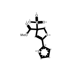 COC(=O)C1(S(=O)(=O)Cl)C=C(c2cccs2)SC1